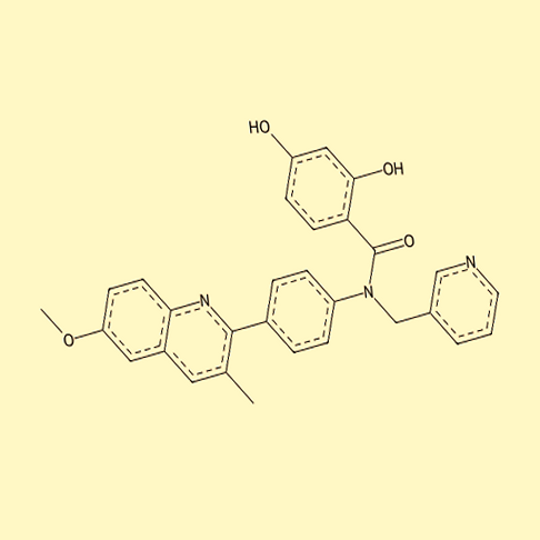 COc1ccc2nc(-c3ccc(N(Cc4cccnc4)C(=O)c4ccc(O)cc4O)cc3)c(C)cc2c1